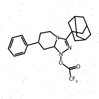 O=C(ON1N=C(C23CC4CC(CC(C4)C2)C3)N2CCC(c3ccccc3)CC12)C(F)(F)F